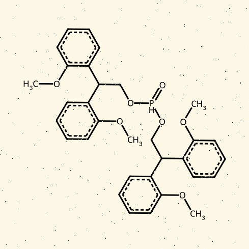 COc1ccccc1C(CO[PH](=O)OCC(c1ccccc1OC)c1ccccc1OC)c1ccccc1OC